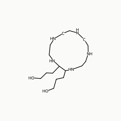 OCCCC1NCCNCCNCCNCCNC1CCCO